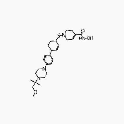 COCC(C)(C)N1CCN(c2ccc(C3C=CC(SN4CC=C(C(=O)NO)CC4)CC3)cc2)CC1